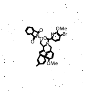 COc1ccc(CN(C(=O)c2ccc(Br)c(OC)n2)C(CON2C(=O)c3ccccc3C2=O)c2cc3cc(C)ccc3o2)cc1